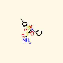 Cc1ccc(S(=O)(=O)c2nc(-c3ccccc3)oc2SCC(N)=O)cc1